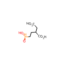 O=C(O)CC(CC[PH](=O)O)C(=O)O